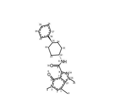 Cc1cn(C)c(=O)c2c(C(=O)N[C@H]3CC[C@H](c4ccccc4)CC3)nn(C)c12